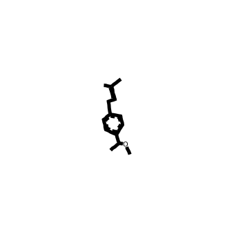 COC(C)c1ccc(CC=C(C)C)cc1